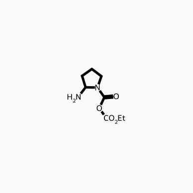 CCOC(=O)OC(=O)N1CCCC1N